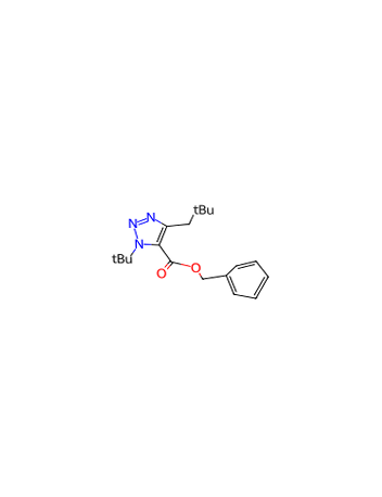 CC(C)(C)Cc1nnn(C(C)(C)C)c1C(=O)OCc1ccccc1